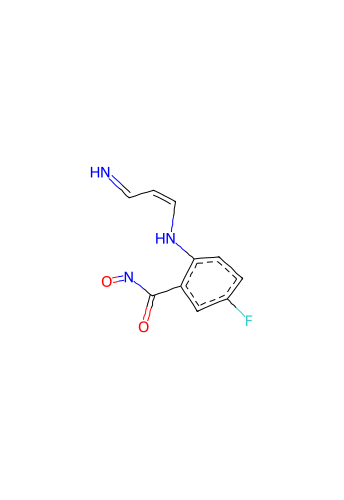 N=C/C=C\Nc1ccc(F)cc1C(=O)N=O